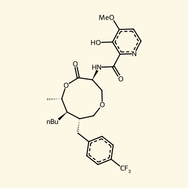 CCCC[C@@H]1[C@@H](Cc2ccc(C(F)(F)F)cc2)COC[C@H](NC(=O)c2nccc(OC)c2O)C(=O)O[C@H]1C